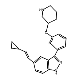 C(=CC1CC1)c1ccc2[nH]nc(-c3cncc(OC4CCCNC4)n3)c2c1